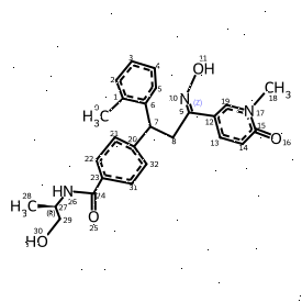 Cc1ccccc1C(C/C(=N/O)c1ccc(=O)n(C)c1)c1ccc(C(=O)N[C@H](C)CO)cc1